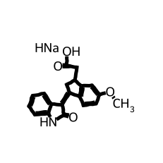 COc1ccc2c(c1)C(CC(=O)O)C/C2=C1/C(=O)Nc2ccccc21.[NaH]